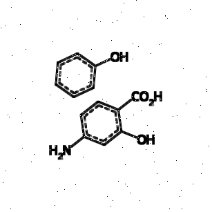 Nc1ccc(C(=O)O)c(O)c1.Oc1ccccc1